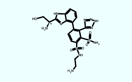 NCCNS(=O)(=O)c1ccc(-c2cccc3[nH]c([C@@H](N)CO)nc23)c(-c2nn[nH]n2)c1S(N)(=O)=O